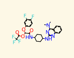 CN(C)c1nc(NC2CCC(NC(=O)C(OC(=O)C(F)(F)F)Oc3ccc(F)c(F)c3)CC2)nc2ccccc12